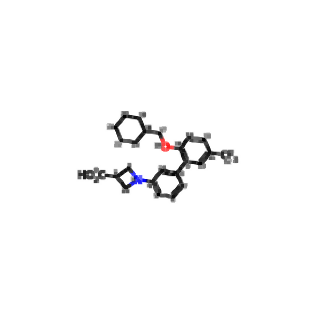 O=C(O)C1CN(c2cccc(-c3cc(C(F)(F)F)ccc3OCC3CCCCC3)c2)C1